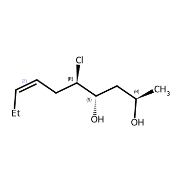 CC/C=C\C[C@@H](Cl)[C@@H](O)C[C@@H](C)O